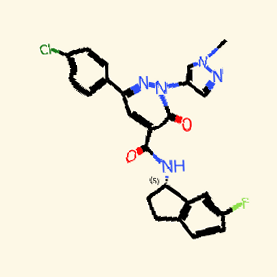 Cn1cc(-n2nc(-c3ccc(Cl)cc3)cc(C(=O)N[C@H]3CCc4ccc(F)cc43)c2=O)cn1